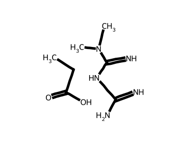 CCC(=O)O.CN(C)C(=N)NC(=N)N